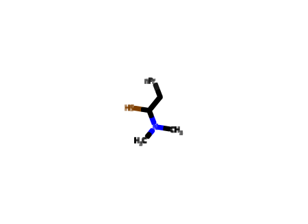 CCCCC(S)N(C)C